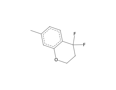 Cc1ccc2c(c1)OCCC2(F)F